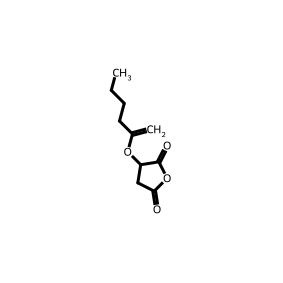 C=C(CCCC)OC1CC(=O)OC1=O